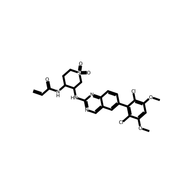 C=CC(=O)NC1CCS(=O)(=O)CC1Nc1ncc2cc(-c3c(Cl)c(OC)cc(OC)c3Cl)ccc2n1